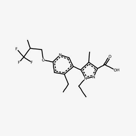 CCc1cc(OCC(C)C(F)(F)F)ncc1-c1c(C)c(C(=O)O)nn1CC